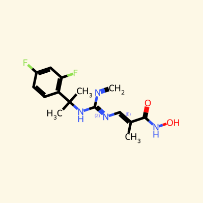 C=N/C(=N\C=C(/C)C(=O)NO)NC(C)(C)c1ccc(F)cc1F